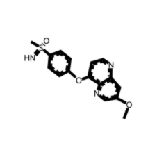 COc1cnc2c(Oc3ccc(S(C)(=N)=O)cc3)ccnc2c1